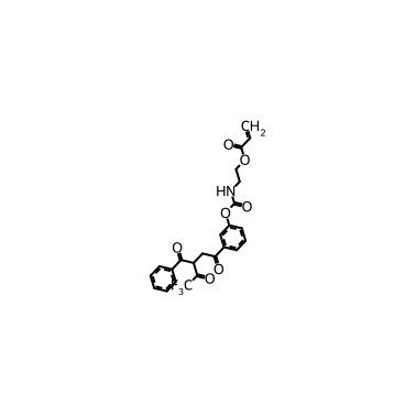 C=CC(=O)OCCNC(=O)Oc1cccc(C(=O)CC(C(=O)c2ccccc2)C(=O)C(F)(F)F)c1